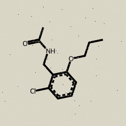 CCCOc1cccc(Cl)c1CNC(C)=O